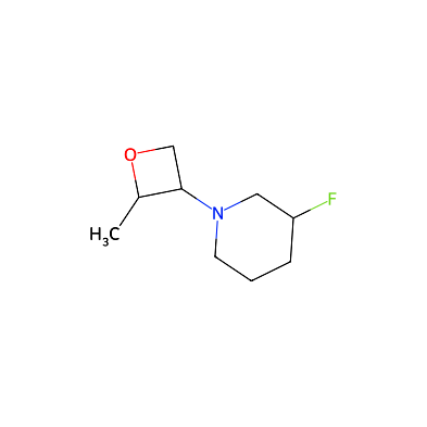 CC1OCC1N1CCCC(F)C1